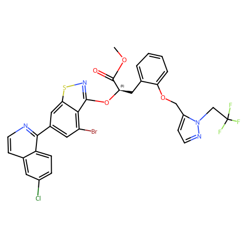 COC(=O)[C@@H](Cc1ccccc1OCc1ccnn1CC(F)(F)F)Oc1nsc2cc(-c3nccc4cc(Cl)ccc34)cc(Br)c12